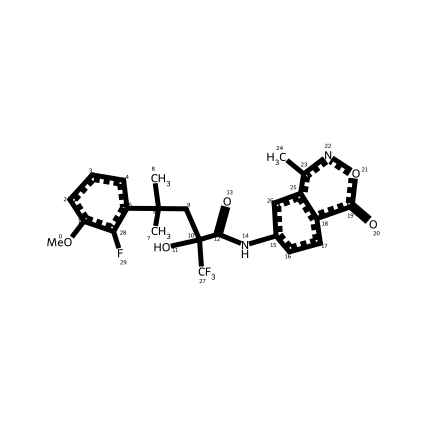 COc1cccc(C(C)(C)CC(O)(C(=O)Nc2ccc3c(=O)onc(C)c3c2)C(F)(F)F)c1F